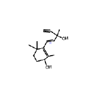 C#CC(C)(O)/C=C/C1=C(C)C(O)CCC1(C)C